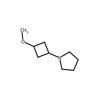 COC1CC(N2CCCC2)C1